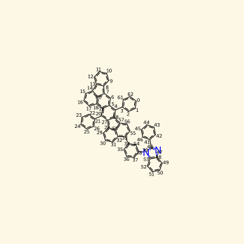 c1ccc(-c2c3cc4c5ccccc5c5cccc(c3c(-c3ccccc3)c3c6cccc7c(-c8cccc(-n9c(-c%10ccccc%10)nc%10ccccc%109)c8)ccc(c23)c76)c54)cc1